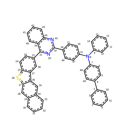 c1ccc(-c2ccc(N(c3ccccc3)c3ccc(-c4nc(-c5ccc6sc7cc8ccccc8cc7c6c5)c5ccccc5n4)cc3)cc2)cc1